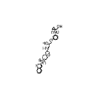 O=S(=O)(c1cnc2ccccc2c1)N1CCC2(CC1)CC(NCC(O)COc1cccc(S(=O)(=O)C3(CO)CC3)c1)CO2